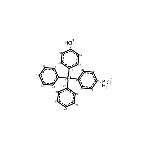 Cl.P.[Cl-].c1ccc([P+](c2ccccc2)(c2ccccc2)c2ccccc2)cc1